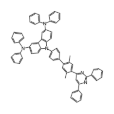 Cc1cc(-c2cc(-c3ccccc3)nc(-c3ccccc3)n2)c(C)cc1-c1ccc(-n2c3ccc(N(c4ccccc4)c4ccccc4)cc3c3cc(N(c4ccccc4)c4ccccc4)ccc32)cc1